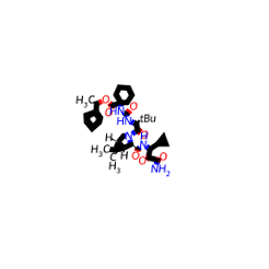 C[C@H](OC(=O)C1(NC(=O)N[C@H](C(=O)N2C[C@H]3[C@@H]([C@H]2C(=O)NC(C(=O)C(N)=O)C2CC2)C3(C)C)C(C)(C)C)CCCCC1)c1ccccc1